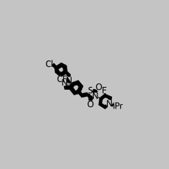 CC(C)N1CC[C@H](N2C(=O)S/C(=C\c3ccc4c(cnn4Cc4ccc(Cl)cc4C(F)(F)F)c3)C2=O)[C@@H](F)C1